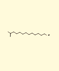 CC(C)CCCCCCCCCCC[PH2]=O